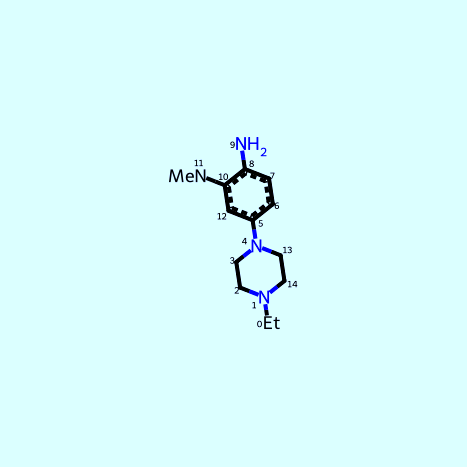 CCN1CCN(c2ccc(N)c(NC)c2)CC1